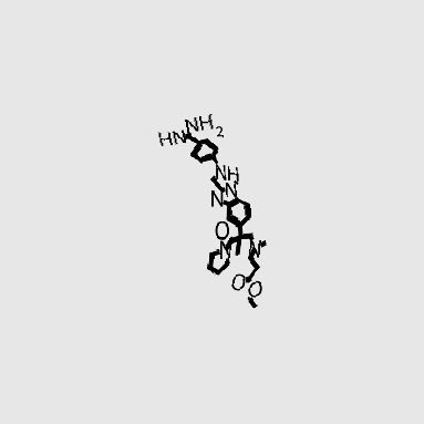 CCOC(=O)CCN(C)CC(C)(C(=O)N1CCCC1)c1ccc2c(c1)nc(CNc1ccc(C(=N)N)cc1)n2C